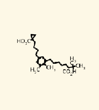 Cc1cc(CCCCC2(C(=O)O)CC2)cc(CCCCCCC(C)(C)C(=O)O)c1C